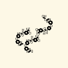 COc1cnc2ccc(Oc3ccc(NC(=O)Nc4ccc(Cl)c(C(F)(F)F)c4)cc3)cc2n1.Cc1cnc2ccc(Oc3ccc(NC(=O)Nc4ccc(Cl)c(C(F)(F)F)c4)cc3)cc2n1.O=C(Nc1ccc(Oc2ccc3ncc(OCCO)nc3c2)cc1)Nc1ccc(Cl)c(C(F)(F)F)c1